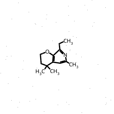 CCc1nc(C)cc2c1OCCC2(C)C